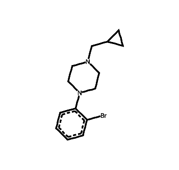 Brc1ccccc1N1CCN(CC2CC2)CC1